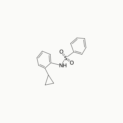 O=S(=O)(Nc1ccccc1C1CC1)c1ccccc1